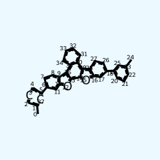 Cc1cccc(-c2ccc3c(c2)oc2c4oc5cc(-c6cccc(C)c6)ccc5c4c4ccccc4c32)c1